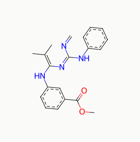 C=N/C(=N\C(Nc1cccc(C(=O)OC)c1)=C(C)C)Nc1ccccc1